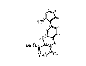 CCCCC(=O)N(Cc1ccc(-c2ccccc2C#N)cc1)C(CC)C(=O)OC